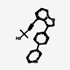 CC(C)(O)C#Cc1cccn2ncc(-c3ccc(-c4cccnc4)cc3)c12